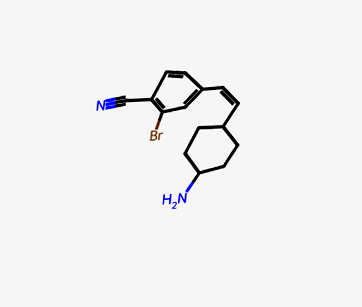 N#Cc1ccc(/C=C\C2CCC(N)CC2)cc1Br